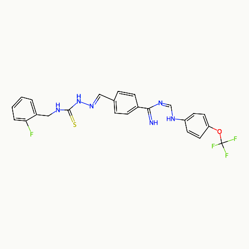 N=C(/N=C\Nc1ccc(OC(F)(F)F)cc1)c1ccc(/C=N/NC(=S)NCc2ccccc2F)cc1